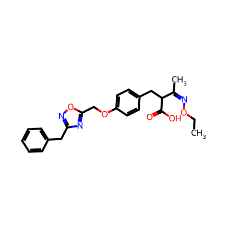 CCO/N=C(/C)C(Cc1ccc(OCc2nc(Cc3ccccc3)no2)cc1)C(=O)O